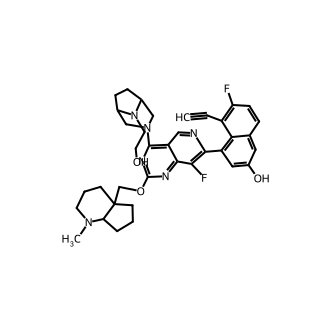 C#Cc1c(F)ccc2cc(O)cc(-c3ncc4c(N5CC6CCC(C5)N6CCO)nc(OCC56CCCC5N(C)CCC6)nc4c3F)c12